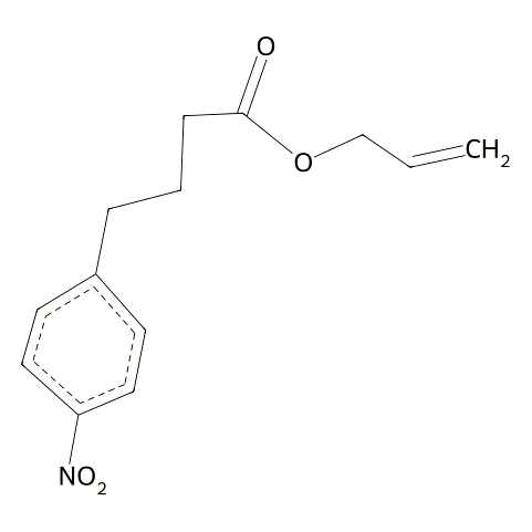 C=CCOC(=O)CCCc1ccc([N+](=O)[O-])cc1